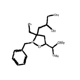 COC(OC)C1CC(CC(C)C)(CC(O)CO)N(Cc2ccccc2)O1